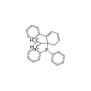 CC(C)C1(P(c2ccccc2)c2ccccc2)CC=CC=C1c1ccccc1